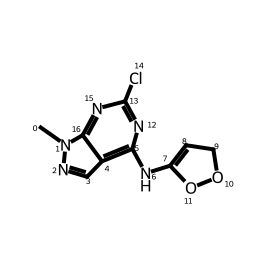 Cn1ncc2c(NC3=CCOO3)nc(Cl)nc21